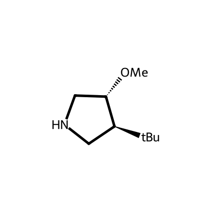 CO[C@H]1CNC[C@@H]1C(C)(C)C